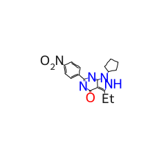 CCc1[nH]n(C2CCCC2)c2nc(-c3ccc([N+](=O)[O-])cc3)nc(=O)c1-2